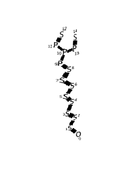 O=S=S=S=S=S=S=S=S=PP(P=S)P=S